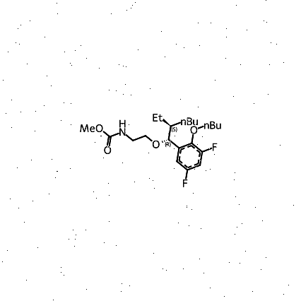 CCCCOc1c(F)cc(F)cc1[C@H](OCCNC(=O)OC)[C@@H](CC)CCCC